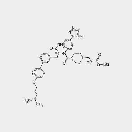 CN(C)CCCOc1ccc(-c2cccc(C[C@@H](C(N)=O)N(c3ccc(-c4nnn[nH]4)cc3)C(=O)[C@H]3CC[C@H](CNC(=O)OC(C)(C)C)CC3)c2)cn1